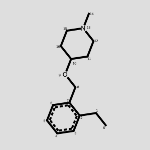 CCc1ccccc1COC1CCN(C)CC1